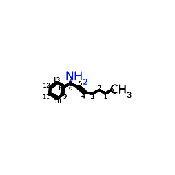 CCCCC#CC(N)c1ccccc1